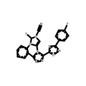 N#CN1C=C2N(c3ccccc3-c3nnc(-c4nc(-c5ccc(F)cc5)no4)n32)C1F